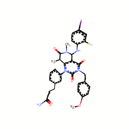 COc1ccc(Cn2c(=O)c3c(n(-c4cccc(CCC(N)=O)c4)c2=O)C(C)C(=O)N(C)C3Nc2ccc(I)cc2F)cc1